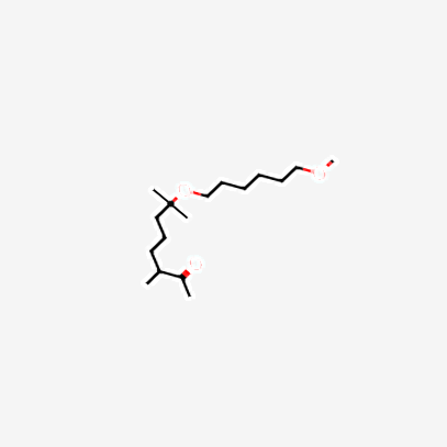 COCCCCCCOC(C)(C)CCCC(C)C(C)=O